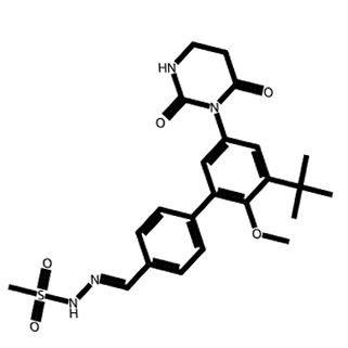 COc1c(-c2ccc(/C=N/NS(C)(=O)=O)cc2)cc(N2C(=O)CCNC2=O)cc1C(C)(C)C